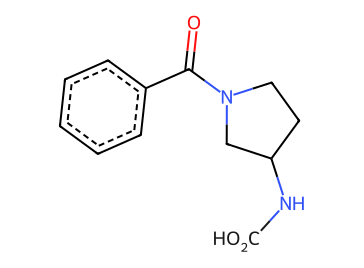 O=C(O)NC1CCN(C(=O)c2ccccc2)C1